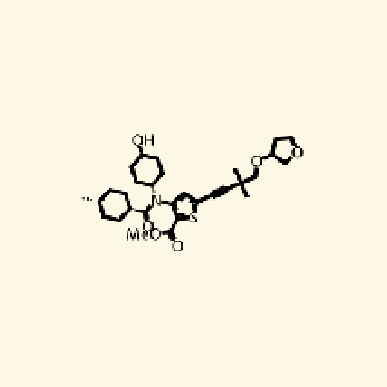 COC(=O)c1sc(C#CC(C)(C)COC2CCOC2)cc1N(C(=O)[C@H]1CC[C@H](C)CC1)[C@H]1CC[C@H](O)CC1